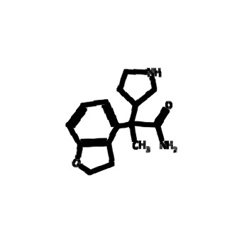 CC(C(N)=O)(c1cccc2c1CCO2)C1CCNC1